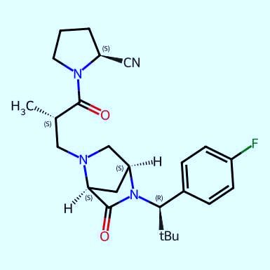 C[C@@H](CN1C[C@@H]2C[C@H]1C(=O)N2[C@@H](c1ccc(F)cc1)C(C)(C)C)C(=O)N1CCC[C@H]1C#N